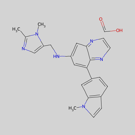 Cc1ncc(CNc2cc(-c3ccc4ccn(C)c4c3)c3nccnc3c2)n1C.O=CO